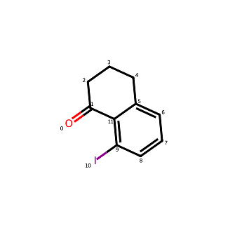 O=C1CCCc2cccc(I)c21